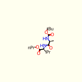 CCCOC(=O)[C@@H](NC(=O)[C@H](C)NC(=O)OC(C)(C)C)C(C)C